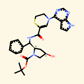 CC(C)(C)OC(=O)N1C[C@H](O)C[C@@H]1C(NC(=O)C1=CN(c2ncnc3[nH]ccc23)CCS1)c1ccccc1